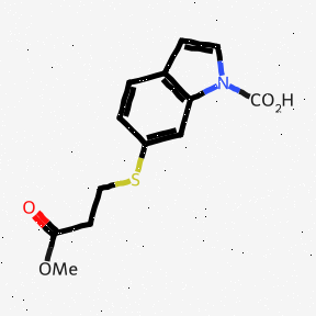 COC(=O)CCSc1ccc2ccn(C(=O)O)c2c1